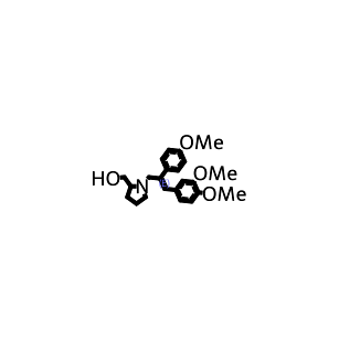 COc1ccc(/C(=C\c2ccc(OC)c(OC)c2)CN2CCCC2CO)cc1